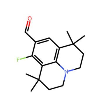 CC1(C)CCN2CCC(C)(C)c3c(F)c(C=O)cc1c32